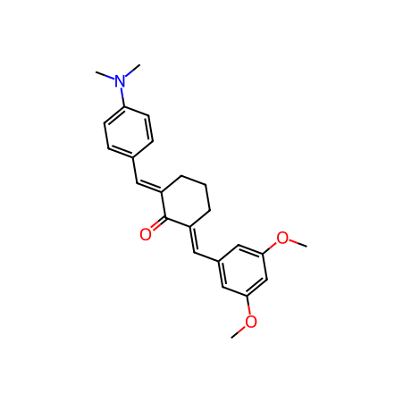 COc1cc(C=C2CCCC(=Cc3ccc(N(C)C)cc3)C2=O)cc(OC)c1